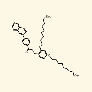 CCCCCCCCCCCCCCCCCCOc1ccc(COC(=O)c2ccc(-c3ccc4ccccc4c3)cc2)c(OCCCCCCCCCCCCCCCCCC)c1